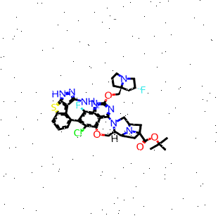 CC(C)(C)OC(=O)C12CC3CN4c5nc(OC[C@@]67CCCN6C[C@H](F)C7)nc6c(F)c(-c7cccc8sc9[nH]nc(N)c9c78)c(Cl)c(c56)OC[C@@H]4C(C1)N32